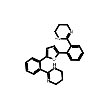 c1ccc(-c2ccc(-c3ccccc3C3=NCCCN3)o2)c(C2=NCCCN2)c1